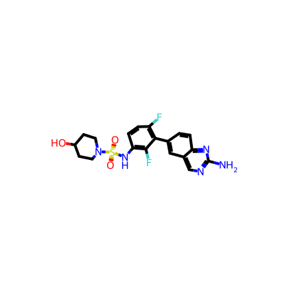 Nc1ncc2cc(-c3c(F)ccc(NS(=O)(=O)N4CCC(O)CC4)c3F)ccc2n1